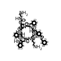 NCCCC[C@@H]1NC(=O)[C@@H](Cc2c[nH]c3ccccc23)NC(=O)[C@H](c2ccccc2)NC(=O)[C@@H]2C[C@@H](OC(=O)NCCN)CN2C(=O)[C@H](Cc2ccccc2)NC(=O)C(Cc2ccc(OCc3ccccc3)cc2)NC1=O